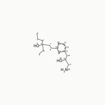 CCCC(O)(CC)CCc1cccc(CC(O)CN)c1